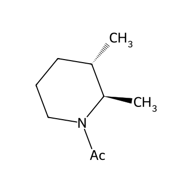 CC(=O)N1CCC[C@H](C)[C@H]1C